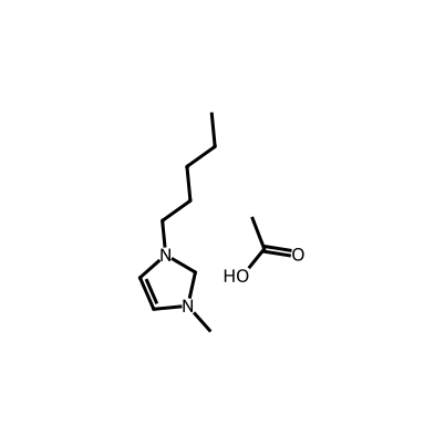 CC(=O)O.CCCCCN1C=CN(C)C1